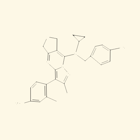 COc1ccc(-c2c(C)nn3c(N(Cc4ccc(C#N)cc4)C4CC4)c4c(nc23)COC4)c(C)c1